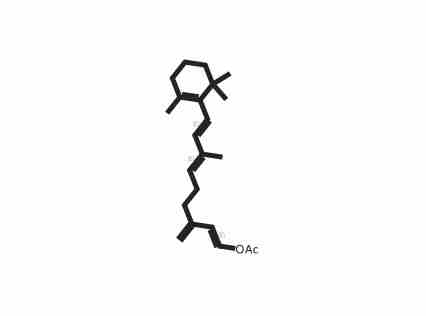 C=C(/C=C/OC(C)=O)CC/C=C(C)/C=C/C1=C(C)CCCC1(C)C